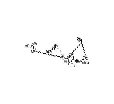 CCCCC(CCCC)CCOC(=O)CCCCCCCCCC(CCCCCCCCCC(=O)OCCC(CCCC)CCC(C)C(CC)CC(CCCC)CCOC(=O)CCCCCCCCCC(CCCCCCCCCC(=O)OCCC(CCCC)CCCC)C(=O)OCCCN(C)C(C)C)CN1CCOCC1